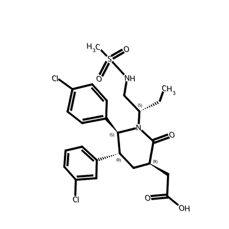 CC[C@@H](CNS(C)(=O)=O)N1C(=O)[C@@H](CC(=O)O)C[C@H](c2cccc(Cl)c2)[C@H]1c1ccc(Cl)cc1